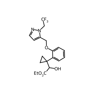 CCOC(=O)C(O)C1(c2ccccc2OCc2ccnn2CC(F)(F)F)CC1